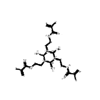 C=C(C)C(=O)OCCN1C(O)N(CCOC(=O)C(=C)C)C(O)N(CCOC(=O)C(=C)C)C1O